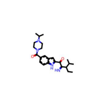 CCC(C(=N)C(=O)c1cc2cc(C(=O)N3CCN(C(C)C)CC3)ccc2[nH]1)C(C)C